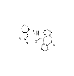 CCN(CC)CC1CCCCN1CCNC(=O)N1c2ccccc2C(=O)Cc2cccnc21